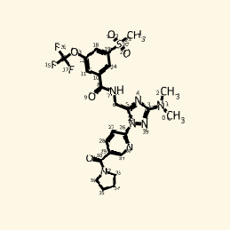 CN(C)c1nc(CNC(=O)c2cc(OC(F)(F)F)cc(S(C)(=O)=O)c2)n(-c2ccc(C(=O)N3CCCC3)cn2)n1